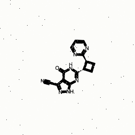 N#Cc1n[nH]c2nc([C@H]3CC[C@@H]3c3ncccn3)[nH]c(=O)c12